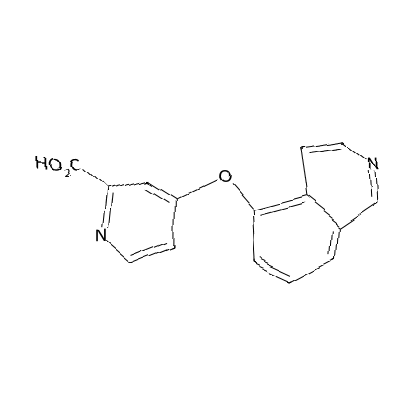 O=C(O)c1cc(Oc2cccc3cnccc23)ccn1